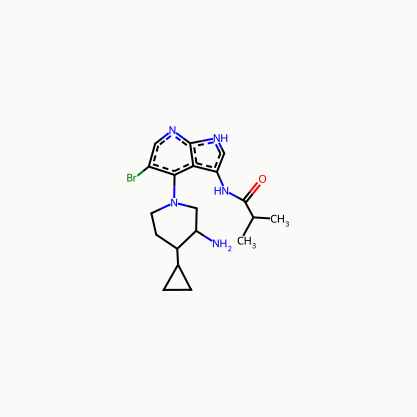 CC(C)C(=O)Nc1c[nH]c2ncc(Br)c(N3CCC(C4CC4)C(N)C3)c12